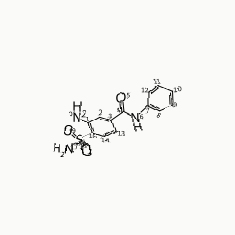 Nc1cc(C(=O)Nc2ccccc2)ccc1S(N)(=O)=O